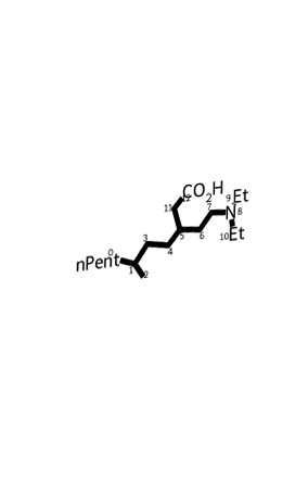 CCCCCC(C)CCC(CCN(CC)CC)CC(=O)O